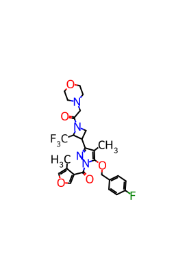 Cc1cocc1C(=O)n1nc(C2CN(C(=O)CN3CCOCC3)C2C(F)(F)F)c(C)c1OCc1ccc(F)cc1